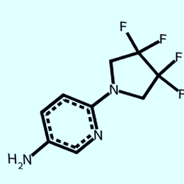 Nc1ccc(N2CC(F)(F)C(F)(F)C2)nc1